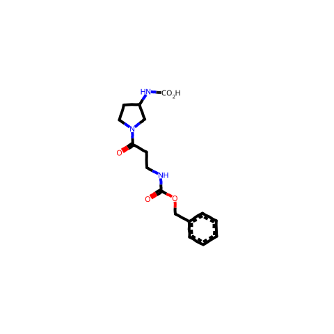 O=C(O)NC1CCN(C(=O)CCNC(=O)OCc2ccccc2)C1